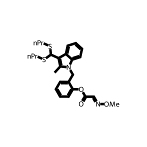 CCCSC(SCCC)c1c(C)n(Cc2ccccc2OC(=O)C=NOC)c2ccccc12